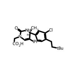 CC(C)C1=CN(CC(=O)O)C(=O)N[C@]1(C)c1ccc(CCC(C)(C)C)c(Cl)c1